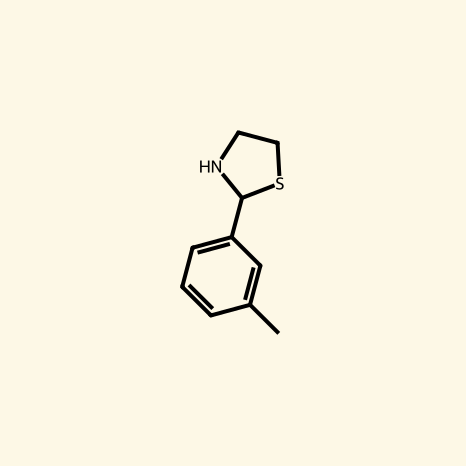 Cc1cccc(C2NCCS2)c1